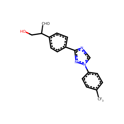 O=CC(CO)c1ccc(-c2ncn(-c3ccc(C(F)(F)F)cc3)n2)cc1